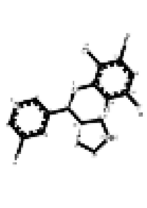 Fc1cncc([C@@H](Oc2c(Cl)c(F)cc(F)c2Cl)[C@H]2CCNC2)c1